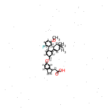 COc1ccc(F)c(-c2ccc(COc3ccc4c(c3)[C@@H](CC(=O)O)CC4)cc2C2=CCC(C)(C)CC2)c1